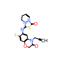 C#CCN1C(=O)COc2cc(F)c(N=c3sc(=O)n4n3CCC=C4)cc21